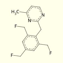 Cc1ccnc(Cc2c(CF)cc(CF)cc2CF)n1